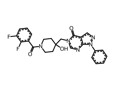 O=C(c1cccc(F)c1F)N1CCC(O)(Cn2cnc3c(cnn3-c3ccccc3)c2=O)CC1